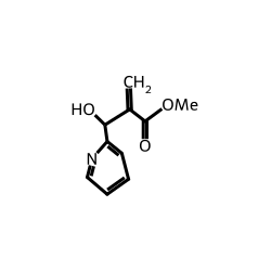 C=C(C(=O)OC)C(O)c1ccccn1